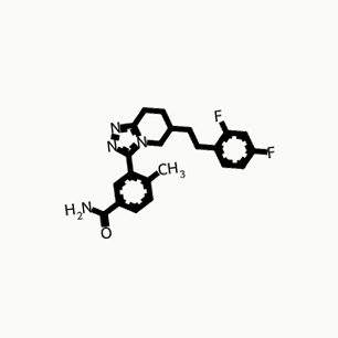 Cc1ccc(C(N)=O)cc1-c1nnc2n1CC(CCc1ccc(F)cc1F)CC2